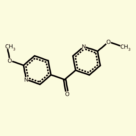 COc1ccc(C(=O)c2ccc(OC)nc2)cn1